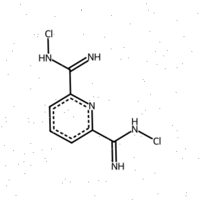 N=C(NCl)c1cccc(C(=N)NCl)n1